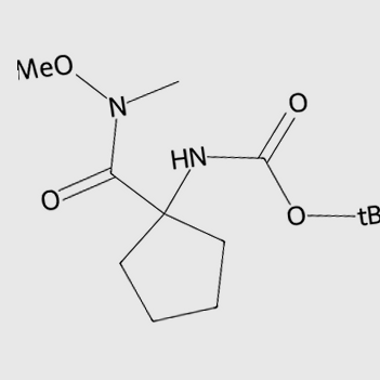 CON(C)C(=O)C1(NC(=O)OC(C)(C)C)CCCC1